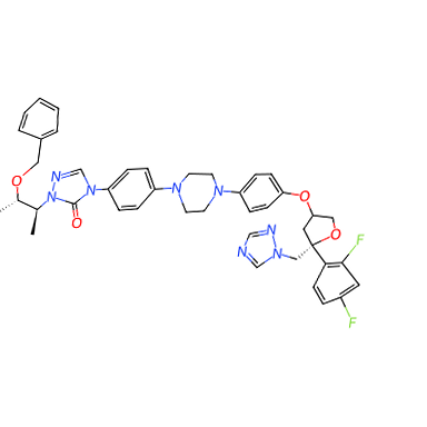 C[C@H](OCc1ccccc1)[C@H](C)n1ncn(-c2ccc(N3CCN(c4ccc(OC5CO[C@@](Cn6cncn6)(c6ccc(F)cc6F)C5)cc4)CC3)cc2)c1=O